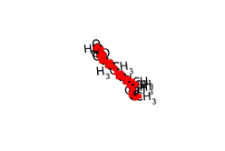 Cc1cccc(C(=O)Nc2cc3cn(C4CCN(CCC(C)(C)C5CCN(c6ccc7c(c6)C(=O)N(C6CCC(=O)NC6=O)C7=O)CC5)CC4)nc3cc2C(C)(C)O)n1